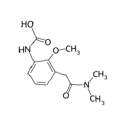 COc1c(CC(=O)N(C)C)cccc1NC(=O)O